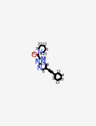 O=C(c1nc2ncc(C#Cc3ccccc3)cn2n1)N1CCCCC1